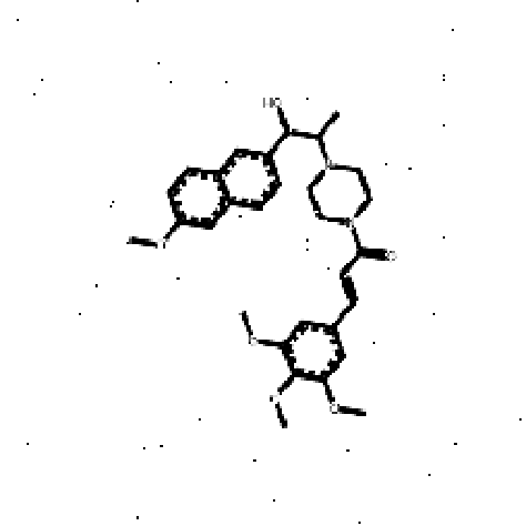 COc1ccc2cc(C(O)C(C)N3CCN(C(=O)C=Cc4cc(OC)c(OC)c(OC)c4)CC3)ccc2c1